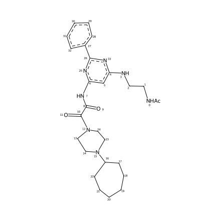 CC(=O)NCCNc1cc(NC(=O)C(=O)N2CCN(C3CCCCCC3)CC2)nc(-c2ccccc2)n1